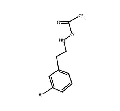 O=C(ONCCc1cccc(Br)c1)C(F)(F)F